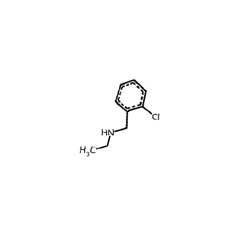 CCNCc1ccccc1Cl